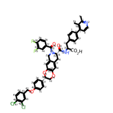 Cc1nccc(-c2ccc(CC(NC(=O)[C@@H]3Cc4cc5c(cc4CN3C(=O)c3ccc(F)c(F)c3)O[C@@H](c3ccc(OCc4ccc(Cl)c(Cl)c4)cc3)CO5)C(=O)O)cc2)c1C